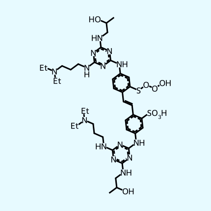 CCN(CC)CCCNc1nc(NCC(C)O)nc(Nc2ccc(/C=C/c3ccc(Nc4nc(NCCCN(CC)CC)nc(NCC(C)O)n4)cc3S(=O)(=O)O)c(SOOO)c2)n1